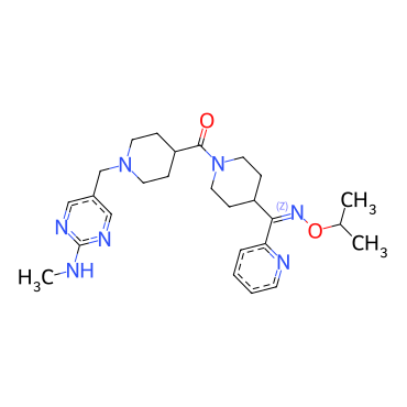 CNc1ncc(CN2CCC(C(=O)N3CCC(/C(=N/OC(C)C)c4ccccn4)CC3)CC2)cn1